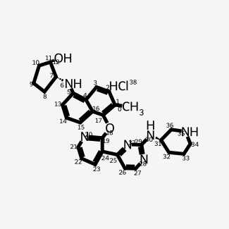 Cc1ccc2c(N[C@@H]3CCC[C@H]3O)cccc2c1Oc1ncccc1-c1ccnc(N[C@H]2CCCNC2)n1.Cl